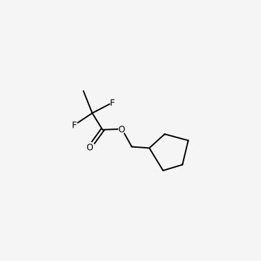 CC(F)(F)C(=O)OCC1CCCC1